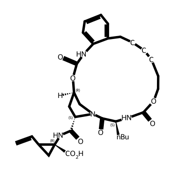 C=CC1C[C@]1(NC(=O)[C@@H]1C[C@@H]2CN1C(=O)[C@H](CCCC)NC(=O)OCCCCCCc1ccccc1NC(=O)O2)C(=O)O